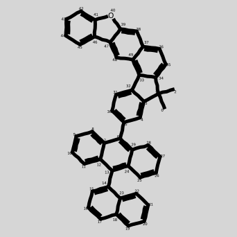 CC1(C)c2cc(-c3c4ccccc4c(-c4cccc5ccccc45)c4ccccc34)ccc2-c2c1ccc1cc3oc4ccccc4c3cc21